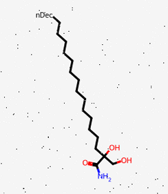 CCCCCCCCCCCCCCCCCCCCCCCCC(O)(CO)C(N)=O